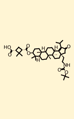 CC(C)C1=C2[C@H]3CC[C@@H]4[C@@]5(C)CC[C@H](OC(=O)[C@H]6C[C@@H](C(=O)O)C6(C)C)C(C)(C)[C@@H]5CC[C@@]4(C)[C@]3(C)CC[C@@]2(CCNC(=O)OC(C)(C)C)CC1=O